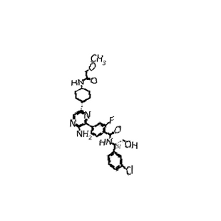 COCC(=O)N[C@H]1CC[C@H](c2cnc(N)c(-c3ccc(C(=O)N[C@H](CO)c4cccc(Cl)c4)c(F)c3)n2)CC1